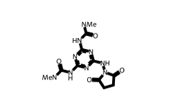 CNC(=O)Nc1nc(NC(=O)NC)nc(NN2C(=O)CCC2=O)n1